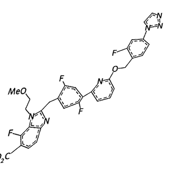 COCCn1c(Cc2cc(F)c(-c3cccc(OCc4ccc(-n5ccnn5)cc4F)n3)cc2F)nc2ccc(C(=O)O)c(F)c21